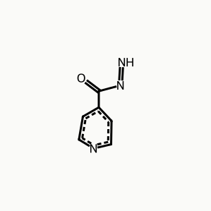 N=NC(=O)c1ccncc1